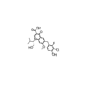 COc1cc2c(cc1Cc1ccc(O)c(Cl)c1F)c(=O)c(C(=O)O)cn2[C@H](CO)C(C)C